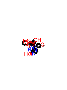 COc1ccc(C(c2ccccc2)(c2ccccc2)[N+]2([C@@H]3O[C@H](CO)[C@@H](O)[C@H]3OC3CCCCO3)C=Nc3c(O)ncnc32)cc1